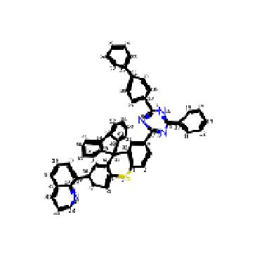 C1=C2Sc3ccc(-c4nc(-c5ccccc5)nc(-c5ccc(-c6ccccc6)cc5)n4)cc3C3(C2=CC(c2cccc4cccnc24)C1)c1ccccc1-c1ccccc13